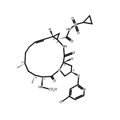 C[C@@H]1CCC=C[C@@H]2C[C@@]2(C(=O)NS(=O)(=O)C2CC2)NC(=O)[C@@H]2C[C@@H](Oc3cc(Cl)ccn3)CN2C(=O)[C@@H](NC(=O)O)[C@H](C)C1